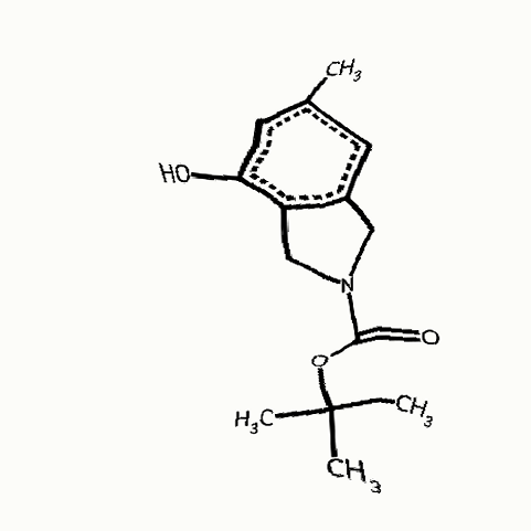 Cc1cc(O)c2c(c1)CN(C(=O)OC(C)(C)C)C2